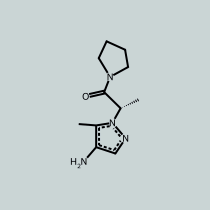 Cc1c(N)cnn1[C@@H](C)C(=O)N1CCCC1